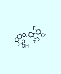 COc1ccc(F)c(-c2ccc(COc3ccc4c(c3)C([C@H](C)C(=O)O)CC4)cc2C2=CCCC2(C)C)c1